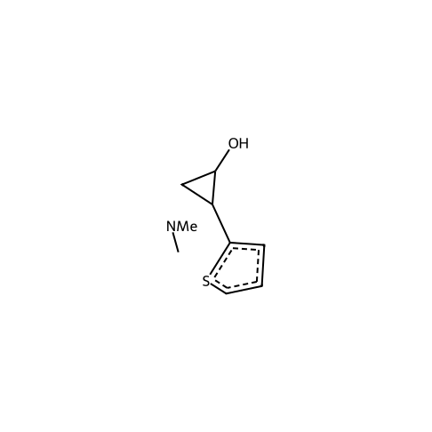 CNC.OC1CC1c1cccs1